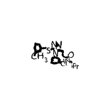 Cc1cccc(CSc2nnc(CCC(=O)NCC(C)C)n2-c2cccc(Cl)c2)c1